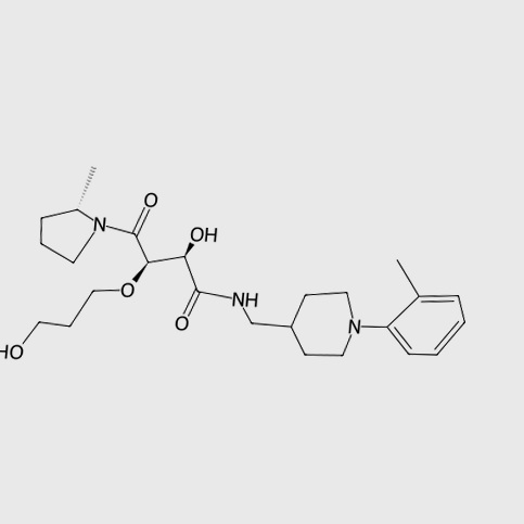 Cc1ccccc1N1CCC(CNC(=O)[C@H](O)[C@@H](OCCCO)C(=O)N2CCC[C@@H]2C)CC1